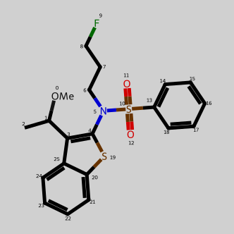 COC(C)c1c(N(CCCF)S(=O)(=O)c2ccccc2)sc2ccccc12